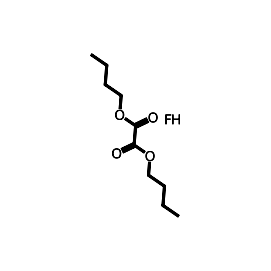 CCCCOC(=O)C(=O)OCCCC.F